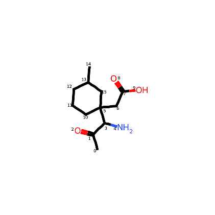 CC(=O)C(N)C1(CC(=O)O)CCCC(C)C1